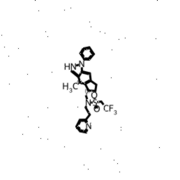 C[C@H]1C2=CNN(c3ccccc3)C2=CC2=C1[C@@H](CN(CCc1ccccn1)S(=O)(=O)CC(F)(F)F)CC2